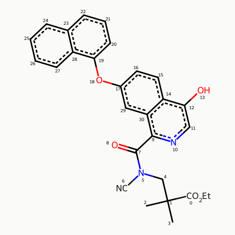 CCOC(=O)C(C)(C)CN(C#N)C(=O)c1ncc(O)c2ccc(Oc3cccc4ccccc34)cc12